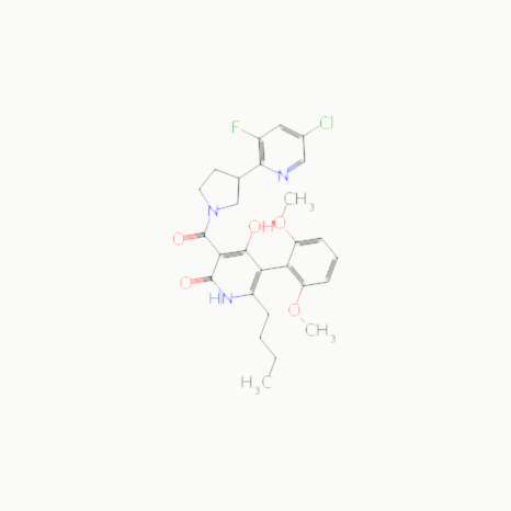 CCCCc1[nH]c(=O)c(C(=O)N2CCC(c3ncc(Cl)cc3F)C2)c(O)c1-c1c(OC)cccc1OC